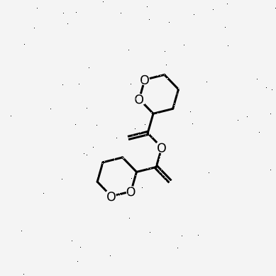 C=C(OC(=C)C1CCCOO1)C1CCCOO1